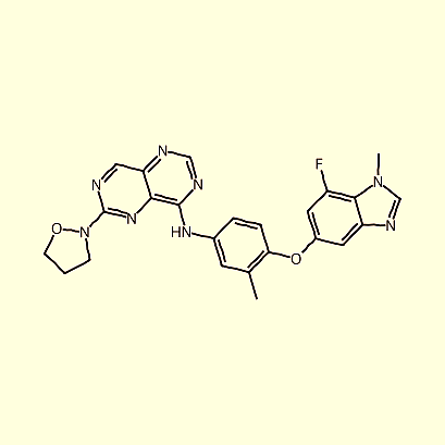 Cc1cc(Nc2ncnc3cnc(N4CCCO4)nc23)ccc1Oc1cc(F)c2c(c1)ncn2C